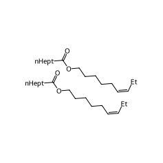 CC/C=C\CCCCCOC(=O)CCCCCCC.CC/C=C\CCCCCOC(=O)CCCCCCC